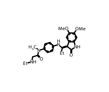 CCNCC(=O)N(C)c1ccc(NC(CC)=C2C(=O)Nc3cc(OC)c(OC)cc32)cc1